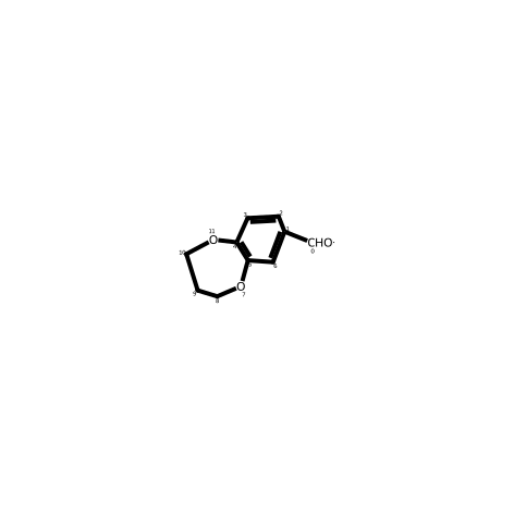 O=[C]c1ccc2c(c1)OCCCO2